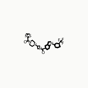 O=C(c1ccc2c(ccn2-c2cccc(C(F)(F)F)c2)c1)N1CC(N2CCN(C(=O)c3nccs3)CC2)C1